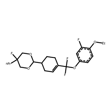 CCCC1(F)COC(C2CC=C(C(F)(F)Oc3ccc(OCC)c(F)c3)CC2)OC1